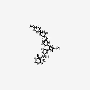 CC(=O)N1CCN(c2ccc(Nc3nccc(-c4oc(C(C)C)nc4-c4cccc(NS(=O)(=O)c5c(F)cccc5F)c4)n3)cn2)CC1